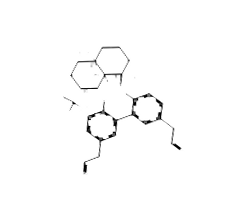 C=CCc1ccc(O)c(-c2cc(CC=C)ccc2O[C@]2(C)CCC[C@]3(C)CC[C@@H](C(C)(C)O)C[C@H]32)c1